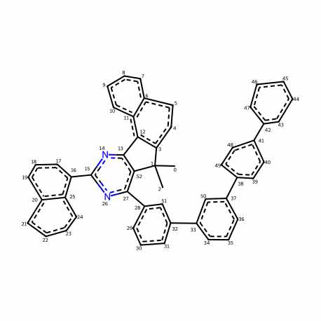 CC1(C)c2ccc3ccccc3c2-c2nc(-c3cccc4ccccc34)nc(-c3cccc(-c4cccc(-c5ccc(-c6ccccc6)cc5)c4)c3)c21